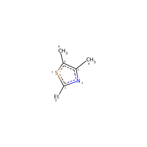 CCc1nc(C)c(C)s1